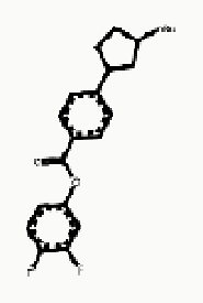 CCCCC1CCC(c2ccc(C(=O)Oc3ccc(F)c(F)c3)cc2)C1